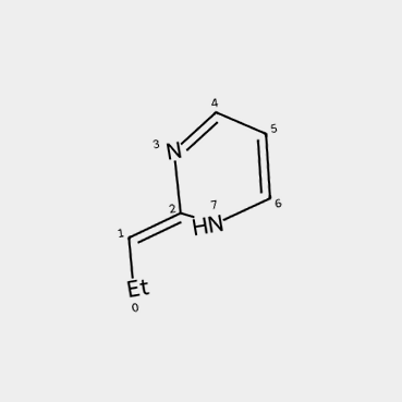 CC/C=C1/N=CC=CN1